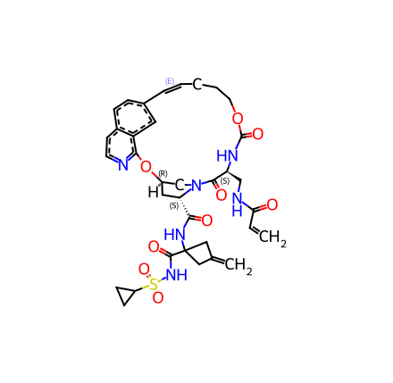 C=CC(=O)NC[C@@H]1NC(=O)OCCC/C=C/c2ccc3ccnc(c3c2)O[C@@H]2C[C@@H](C(=O)NC3(C(=O)NS(=O)(=O)C4CC4)CC(=C)C3)N(C2)C1=O